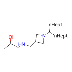 CCCCCCCC(CCCCCCC)N1CC(CNCC(C)O)C1